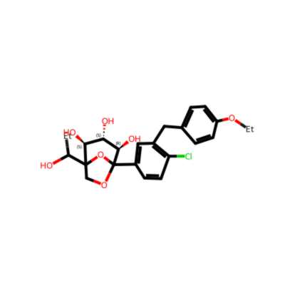 CCOc1ccc(Cc2cc(C34OCC(C(O)CC)(O3)[C@@H](O)[C@H](O)[C@H]4O)ccc2Cl)cc1